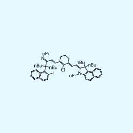 CCCCC1(CCCC)/C(=C/C=C2\CCCC(/C=C/C(=N\CCC)C(CCCC)(CCCC)c3c(I)ccc4ccccc34)=C2Cl)N(CCC)c2ccc3ccccc3c21